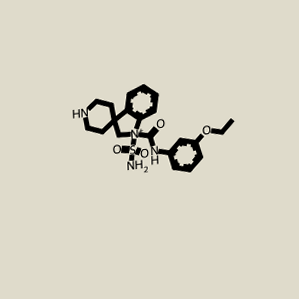 CCOc1cccc(NC(=O)[N+]2(S(N)(=O)=O)CC3(CCNCC3)c3ccccc32)c1